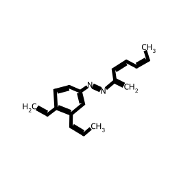 C=Cc1ccc(N=NC(=C)/C=C\C=C/C)cc1/C=C\C